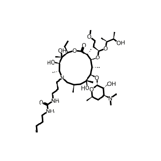 CCCCNC(=O)NCCCN1C[C@H](C)C[C@@](C)(O)[C@H](O[C@@H]2O[C@H](C)C[C@H](N(C)C)[C@H]2O)[C@@H](C)[C@H](O[C@@H](CCOC)O[C@@H](C)[C@@H](C)O)[C@@H](C)C(=O)O[C@H](CC)[C@@](C)(O)[C@H](O)[C@H]1C